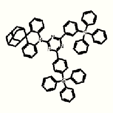 c1ccc([Si](c2ccccc2)(c2ccccc2)c2ccc(-c3nc(-c4cccc([Si](c5ccccc5)(c5ccccc5)c5ccccc5)c4)nc(N4c5ccccc5C5(c6ccccc64)C4CC6CC(C4)CC5C6)n3)cc2)cc1